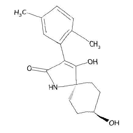 Cc1ccc(C)c(C2=C(O)[C@]3(CC[C@H](O)CC3)NC2=O)c1